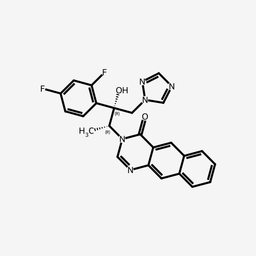 C[C@@H](n1cnc2cc3ccccc3cc2c1=O)[C@](O)(Cn1cncn1)c1ccc(F)cc1F